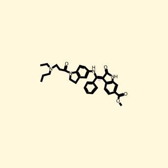 CCCN(CC)CCC(=O)N1CCc2cc(N/C(=C3\C(=O)Nc4cc(C(=O)OC)ccc43)c3ccccc3)ccc21